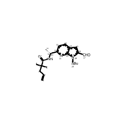 C=CCC(C)(C)C(=O)N[C@H](C)c1ccc2cc(C=O)n(CCCC)c2n1